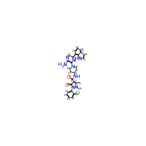 Cc1c(C(=O)NC2CCN(c3nc(-c4cccc5cc[nH]c45)cnc3N)CC2)c(=O)n(-c2ccccc2Cl)n1C